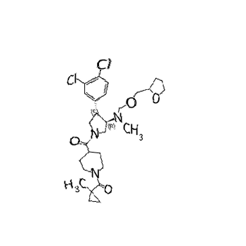 CN(COCC1CCCO1)[C@H]1CN(C(=O)C2CCN(C(=O)C3(C)CC3)CC2)C[C@@H]1c1ccc(Cl)c(Cl)c1